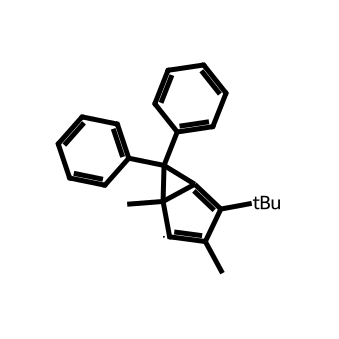 CC1=[C]C2(C)C(=C1C(C)(C)C)C2(c1ccccc1)c1ccccc1